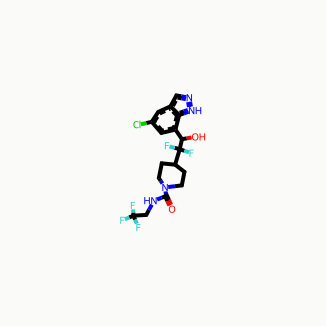 O=C(NCC(F)(F)F)N1CCC(C(F)(F)C(O)c2cc(Cl)cc3cn[nH]c23)CC1